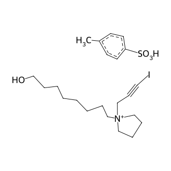 Cc1ccc(S(=O)(=O)O)cc1.OCCCCCCCC[N+]1(CC#CI)CCCC1